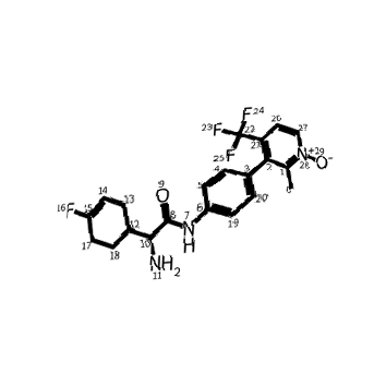 Cc1c(-c2ccc(NC(=O)[C@@H](N)C3CC=C(F)CC3)cc2)c(C(F)(F)F)cc[n+]1[O-]